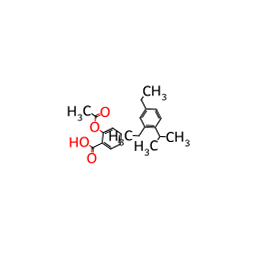 CC(=O)Oc1ccccc1C(=O)O.CCc1ccc(C(C)C)c(CC)c1